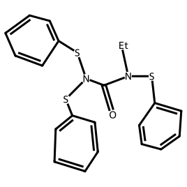 CCN(Sc1ccccc1)C(=O)N(Sc1ccccc1)Sc1ccccc1